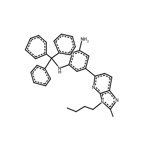 CCCCn1c(C)nc2ccc(-c3cc(N)nc(NC(c4ccccc4)(c4ccccc4)c4ccccc4)c3)nc21